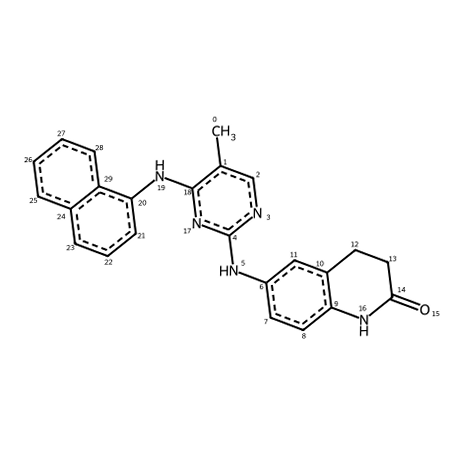 Cc1cnc(Nc2ccc3c(c2)CCC(=O)N3)nc1Nc1cccc2ccccc12